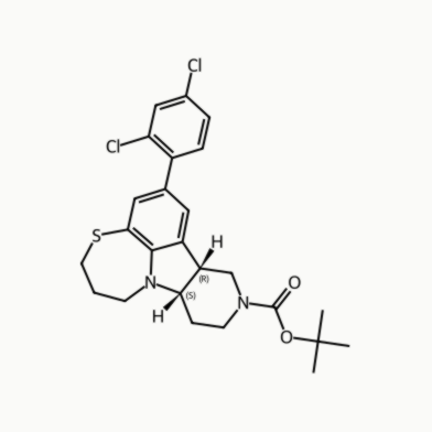 CC(C)(C)OC(=O)N1CC[C@H]2[C@@H](C1)c1cc(-c3ccc(Cl)cc3Cl)cc3c1N2CCCS3